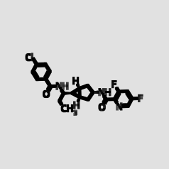 CCC(NC(=O)c1ccc(Cl)cc1)[C@H]1[C@@H]2C[C@@H](NC(=O)c3ncc(F)cc3F)C[C@@H]21